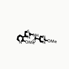 COc1ncc(C(=O)Nc2nc(-c3cccnc3OC)cs2)cn1